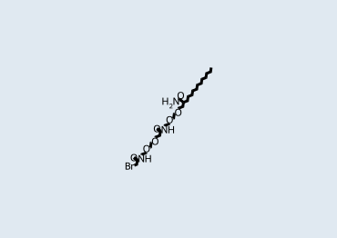 CCCCCCCCCCCCC(CCOCCOCCNC(=O)CCOCCOCCNC(=O)CBr)C(N)=O